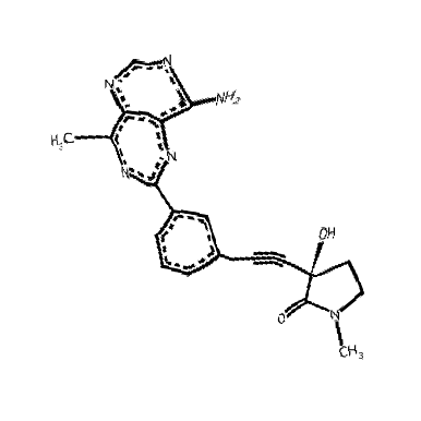 Cc1nc(-c2cccc(C#C[C@]3(O)CCN(C)C3=O)c2)nc2c(N)ncnc12